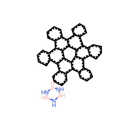 B1NBNBN1.c1ccc2c(c1)c1c3ccccc3c3c4ccccc4c4c5ccccc5c5c6ccccc6c6c7ccccc7c2c2c1c3c4c5c62